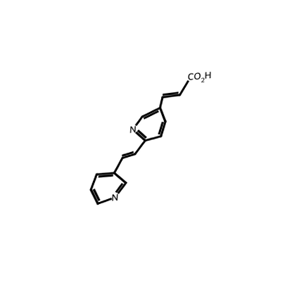 O=C(O)C=Cc1ccc(C=Cc2cccnc2)nc1